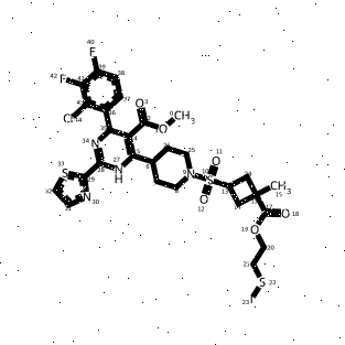 COC(=O)C1=C(C2CCN(S(=O)(=O)C3CC(C)(C(=O)OCCSI)C3)CC2)NC(c2nccs2)=NC1c1ccc(F)c(F)c1Cl